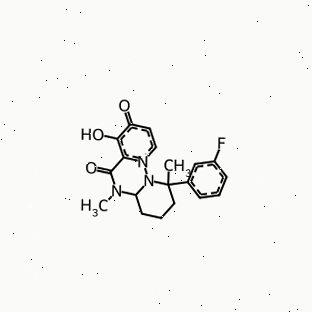 CN1C(=O)c2c(O)c(=O)ccn2N2C1CCCC2(C)c1cccc(F)c1